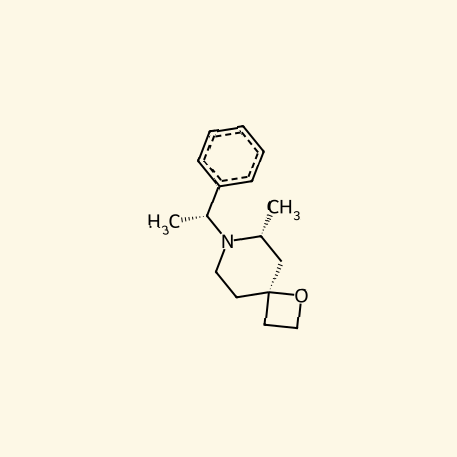 C[C@@H]1C[C@]2(CCO2)CCN1[C@H](C)c1ccccc1